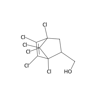 OCC1CC2(Cl)C(Cl)=C(Cl)C1(Cl)C2(Cl)Cl